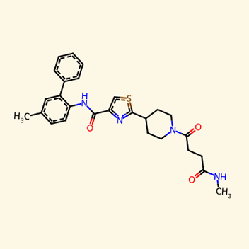 CNC(=O)CCC(=O)N1CCC(c2nc(C(=O)Nc3ccc(C)cc3-c3ccccc3)cs2)CC1